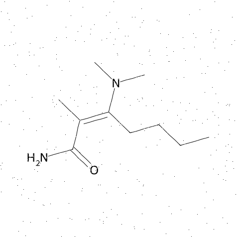 CCCC/C(=C(/C)C(N)=O)N(C)C